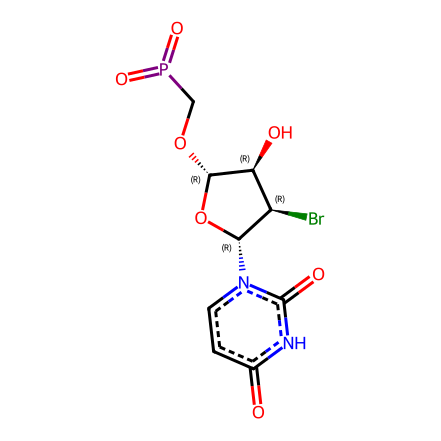 O=c1ccn([C@@H]2O[C@H](OCP(=O)=O)[C@@H](O)[C@H]2Br)c(=O)[nH]1